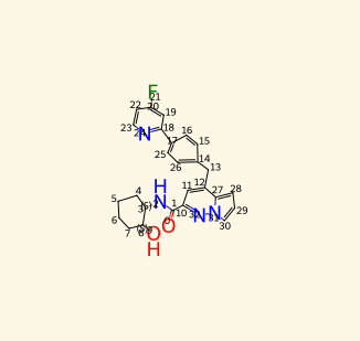 O=C(N[C@H]1CCCC[C@@H]1O)c1cc(Cc2ccc(-c3cc(F)ccn3)cc2)c2cccn2n1